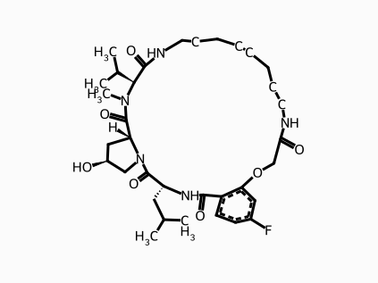 CC(C)C[C@H]1NC(=O)c2ccc(F)cc2OCC(=O)NCCCCCCCCNC(=O)[C@H](C(C)C)N(C)C(=O)[C@H]2C[C@H](O)CN2C1=O